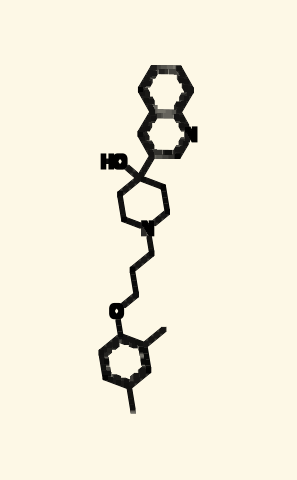 Cc1ccc(OCCCN2CCC(O)(c3cnc4ccccc4c3)CC2)c(C)c1